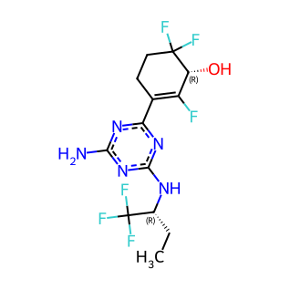 CC[C@@H](Nc1nc(N)nc(C2=C(F)[C@@H](O)C(F)(F)CC2)n1)C(F)(F)F